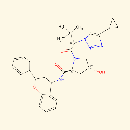 CC(C)(C)[C@@H](C(=O)N1C[C@H](O)C[C@H]1C(=O)NC1CC(c2ccccc2)Oc2ccccc21)n1cc(C2CC2)nn1